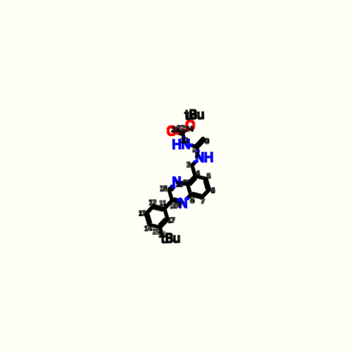 C=C(NCc1cccc2nc(-c3cccc(C(C)(C)C)c3)cnc12)NC(=O)OC(C)(C)C